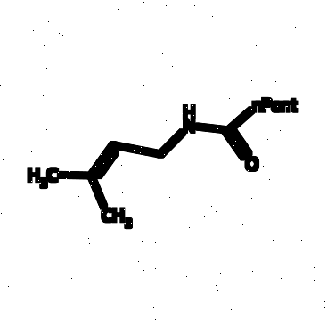 CCCCCC(=O)NCC=C(C)C